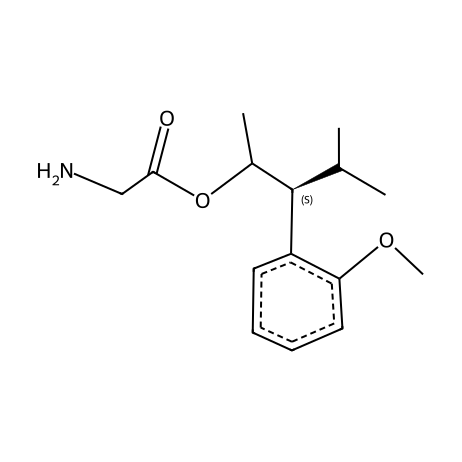 COc1ccccc1[C@H](C(C)C)C(C)OC(=O)CN